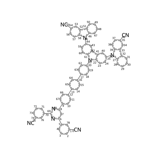 N#Cc1cccc(-c2cc(-c3ccc(-c4ccc(-c5ccc(-n6c7ccc(-n8c9ccccc9c9cc(C#N)ccc98)cc7c7cc(-n8c9ccccc9c9cc(C#N)ccc98)ccc76)cc5)cc4)cc3)nc(-c3cccc(C#N)c3)n2)c1